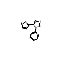 C1=CC(c2cncn2-c2ccccc2)=N[N]1